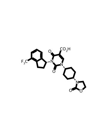 O=C(O)c1cn([C@H]2CC[C@@H](N3CCOC3=O)CC2)c(=O)n([C@@H]2CCc3c2cccc3C(F)(F)F)c1=O